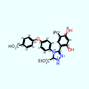 CCOC(=O)C1NN=C(c2cc(C(C)C)c(O)cc2O)N1c1ccc(Oc2ccc(C(=O)O)cc2)cc1